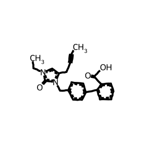 CC#CCc1cn(CC)c(=O)n1Cc1ccc(-c2ccccc2C(=O)O)cc1